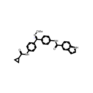 CO/N=C(\c1ccc(NC(=O)c2ccc3[nH]ccc3c2)cc1)c1ccc(NC(=O)C2CC2)cc1